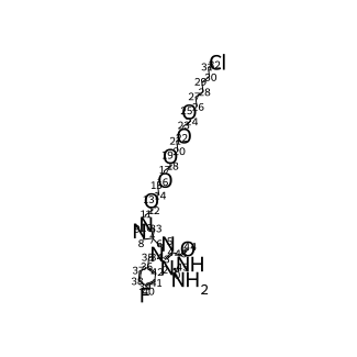 Nc1nc2c(nc(-c3cnn(CCOCCOCCOCCOCCOCCCCCCCl)c3)n2Cc2ccc(F)cc2)c(=O)[nH]1